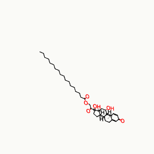 CCCCCCCCCCCCCCCCCC(=O)OCC(=O)[C@@]1(O)CC[C@H]2[C@@H]3CCC4=CC(=O)C=C[C@]4(C)[C@H]3C(O)C[C@@]21C